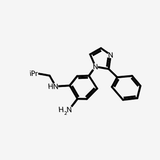 CC(C)CNc1cc(-n2ccnc2-c2ccccc2)ccc1N